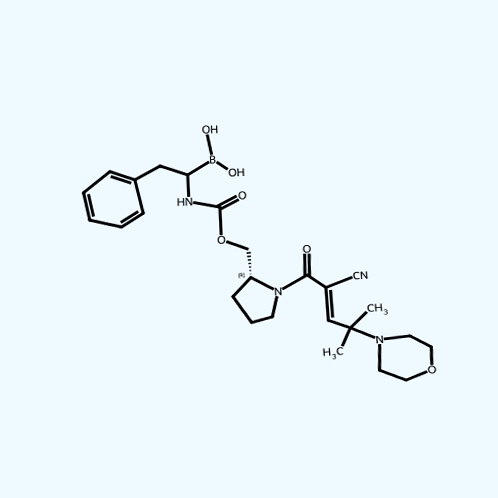 CC(C)(C=C(C#N)C(=O)N1CCC[C@@H]1COC(=O)NC(Cc1ccccc1)B(O)O)N1CCOCC1